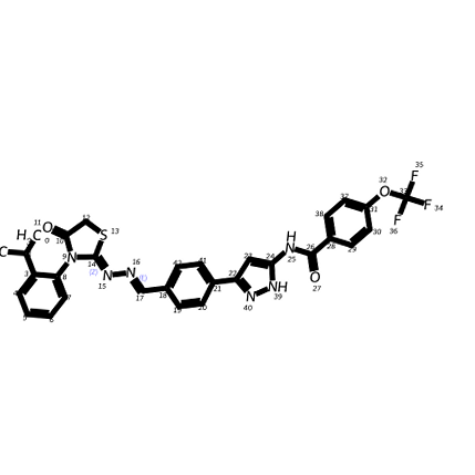 CC(C)c1ccccc1N1C(=O)CS/C1=N\N=C\c1ccc(-c2cc(NC(=O)c3ccc(OC(F)(F)F)cc3)[nH]n2)cc1